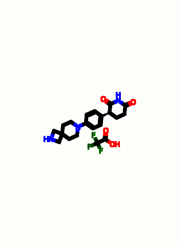 O=C(O)C(F)(F)F.O=C1CC[C@H](c2ccc(N3CCC4(CC3)CNC4)cc2)C(=O)N1